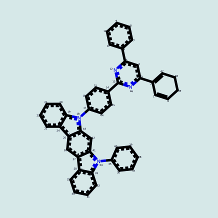 C1=CC(c2cc(-c3ccccc3)nc(-c3ccc(-n4c5ccccc5c5cc6c7ccccc7n(-c7ccccc7)c6cc54)cc3)n2)=CCC1